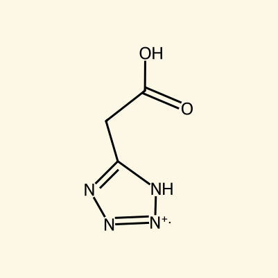 O=C(O)CC1=NN=[N+]N1